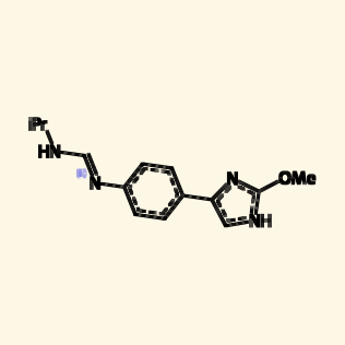 COc1nc(-c2ccc(/N=C/NC(C)C)cc2)c[nH]1